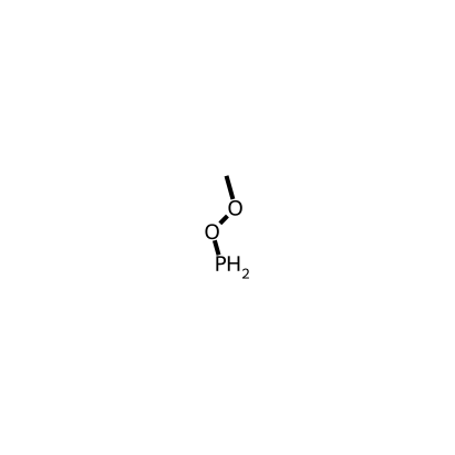 COOP